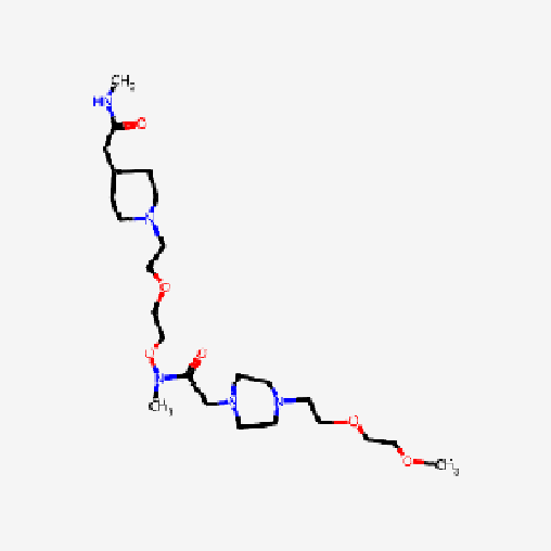 CNC(=O)CC1CCN(CCOCCON(C)C(=O)CN2CCN(CCOCCOC)CC2)CC1